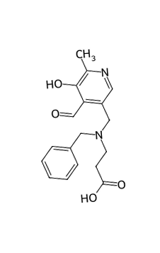 Cc1ncc(CN(CCC(=O)O)Cc2ccccc2)c(C=O)c1O